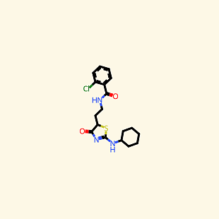 O=C(NCCC1SC(NC2CCCCC2)=NC1=O)c1ccccc1Cl